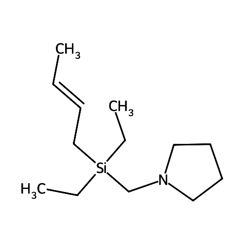 CC=CC[Si](CC)(CC)CN1CCCC1